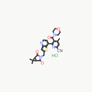 Cc1cc(C#N)nc(-c2ccnc3cc(CN4C(=O)C5C(C4=O)C5(C)C)sc23)c1C(=O)N1CCOCC1.Cl